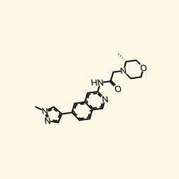 C[C@@H]1COCCN1CC(=O)Nc1cc2cc(-c3cnn(C)c3)ccc2cn1